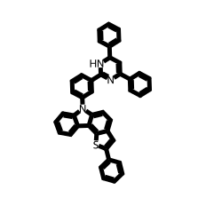 C1=C(c2ccccc2)N=C(c2cccc(-n3c4ccccc4c4c5sc(-c6ccccc6)cc5ccc43)c2)NC1c1ccccc1